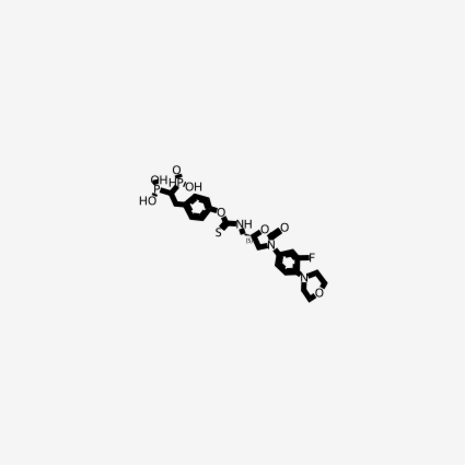 O=C1O[C@@H](CNC(=S)Oc2ccc(CC(P(O)O)[PH](=O)O)cc2)CN1c1ccc(N2CCOCC2)c(F)c1